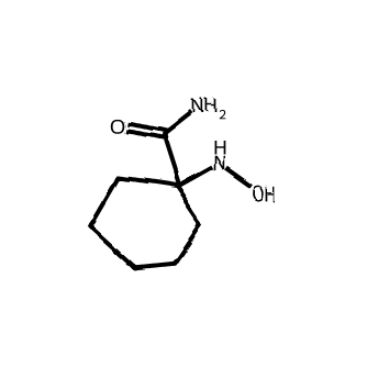 NC(=O)C1(NO)CCCCC1